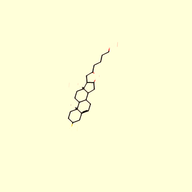 CC12CCC(S)CC1=CCC1C2CCC2(C)C3CC(CCCCO)OC3CC12